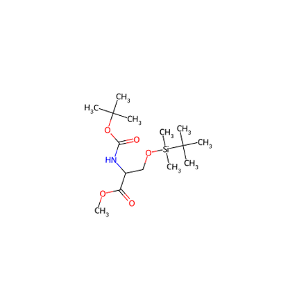 COC(=O)C(CO[Si](C)(C)C(C)(C)C)NC(=O)OC(C)(C)C